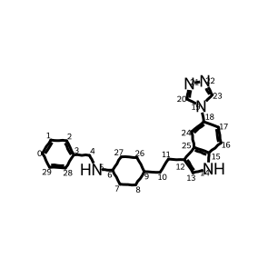 c1ccc(CNC2CCC(CCc3c[nH]c4ccc(-n5cnnc5)cc34)CC2)cc1